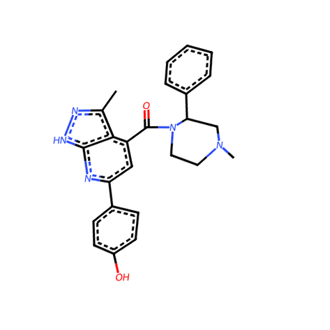 Cc1n[nH]c2nc(-c3ccc(O)cc3)cc(C(=O)N3CCN(C)CC3c3ccccc3)c12